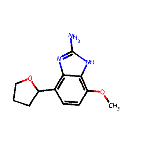 COc1ccc(C2CCCO2)c2nc(N)[nH]c12